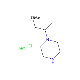 COCC(C)N1CCNCC1.Cl.Cl